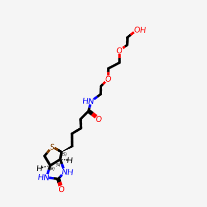 O=C(CCCC[C@@H]1SC[C@@H]2NC(=O)N[C@@H]21)NCCOCCOCCO